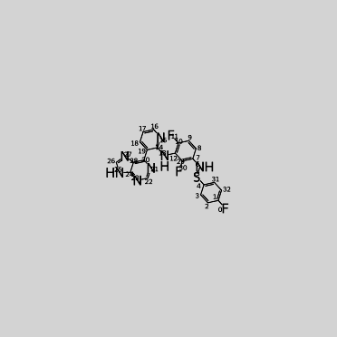 Fc1ccc(SNc2ccc(F)c(Nc3ncccc3-c3ncnc4[nH]cnc34)c2F)cc1